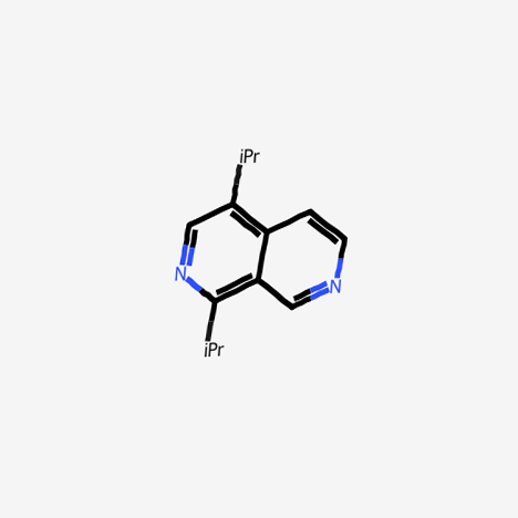 CC(C)c1cnc(C(C)C)c2cnccc12